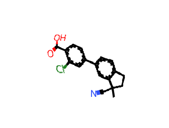 CC1(C#N)CCc2ccc(-c3ccc(C(=O)O)c(Cl)c3)cc21